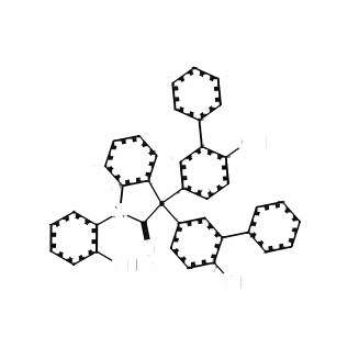 Cc1ccccc1N1C(=O)C(c2ccc(O)c(-c3ccccc3)c2)(c2ccc(O)c(-c3ccccc3)c2)c2ccccc21